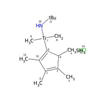 CC1=C(C)C(C)[C]([Ti]([CH3])([CH3])[NH]C(C)(C)C)=C1C.Cl.[SiH4]